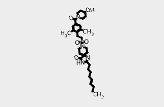 CCCCCCCCCC1=NC2(CCN(S(=O)(=O)CCc3c(C)cc(C(=O)N4CCC(O)CC4)cc3C)CC2)C(=O)N1